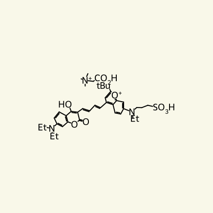 CCN(CC)c1ccc2c(O)c(/C=C/C=C/c3cc(C(C)(C)C)[o+]c4cc(N(CC)CCCS(=O)(=O)O)ccc34)c(=O)oc2c1.C[N+](C)(C)CC(=O)O